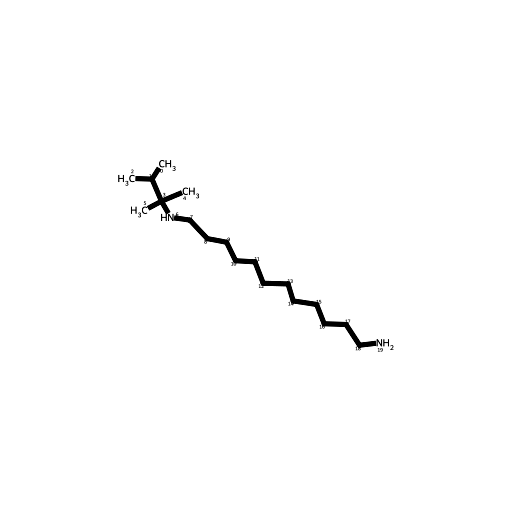 CC(C)C(C)(C)NCCCCCCCCCCCCN